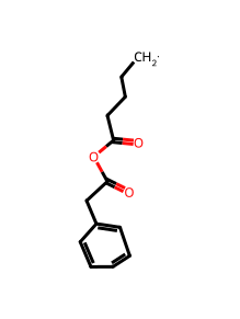 [CH2]CCCC(=O)OC(=O)Cc1ccccc1